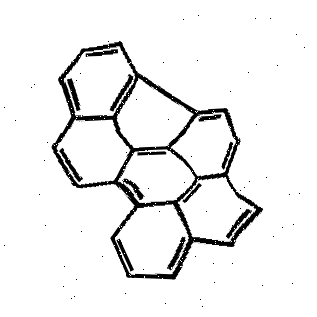 c1cc2c3c(c1)ccc1c4cccc5ccc6ccc-2c(c13)c6c54